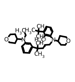 CCN(c1cccc(C(C)(C)CCCN(c2cccc(C(C)(C)C)c2C)C2CCOCC2)c1)C1CCOCC1